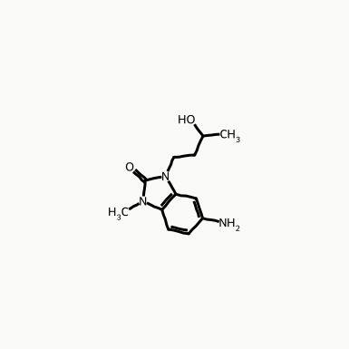 CC(O)CCn1c(=O)n(C)c2ccc(N)cc21